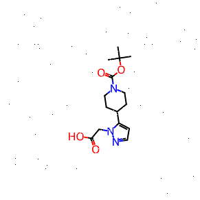 CC(C)(C)OC(=O)N1CCC(c2ccnn2CC(=O)O)CC1